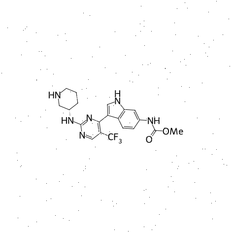 COC(=O)Nc1ccc2c(-c3nc(N[C@H]4CCCNC4)ncc3C(F)(F)F)c[nH]c2c1